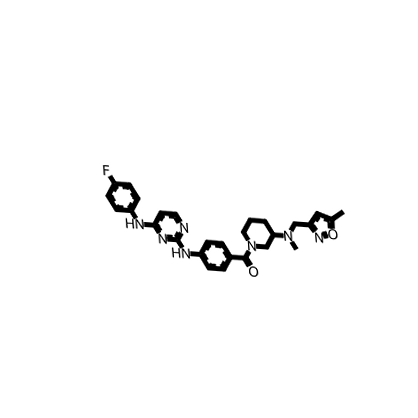 Cc1cc(CN(C)C2CCCN(C(=O)c3ccc(Nc4nccc(Nc5ccc(F)cc5)n4)cc3)C2)no1